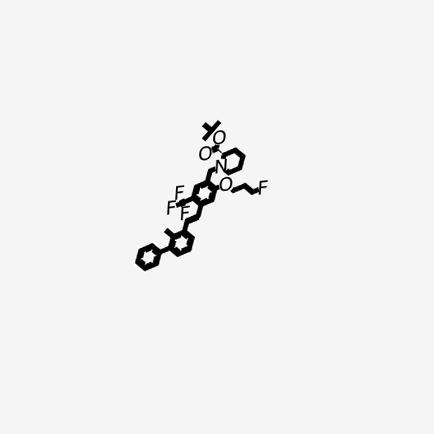 Cc1c(/C=C/c2cc(OCCCF)c(CN3CCCC[C@H]3C(=O)OC(C)(C)C)cc2C(F)(F)F)cccc1-c1ccccc1